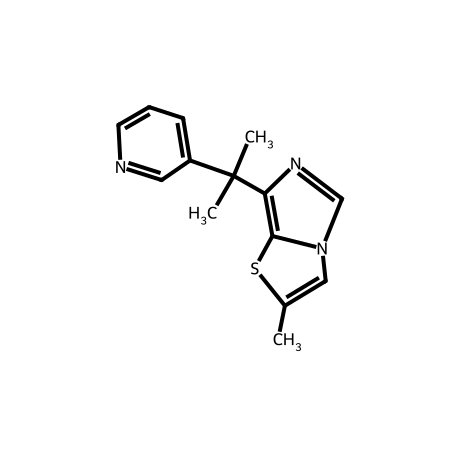 Cc1cn2cnc(C(C)(C)c3cccnc3)c2s1